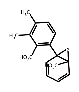 Cc1ccc(C23C=CC=CC2(C(=O)O)S3)c(C(=O)O)c1C